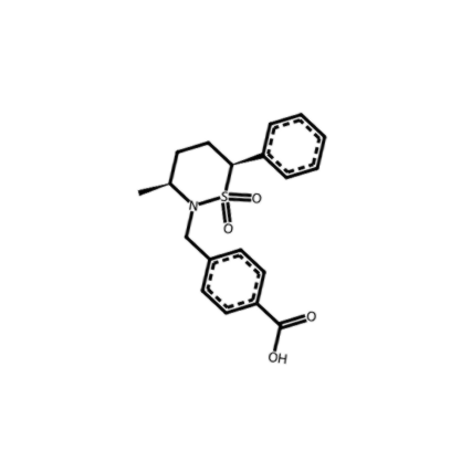 C[C@H]1CC[C@@H](c2ccccc2)S(=O)(=O)N1Cc1ccc(C(=O)O)cc1